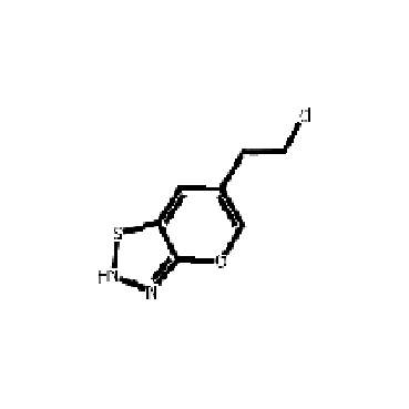 ClCCC1=COC2=NNSC2=C1